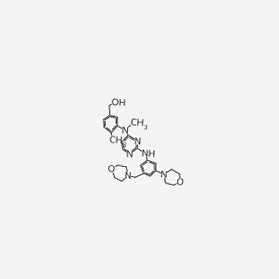 Cc1ccc(CO)cc1N(C)c1ccnc(Nc2cc(CN3CCOCC3)cc(N3CCOCC3)c2)n1